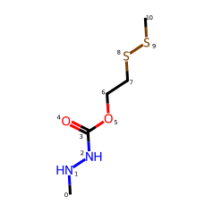 CNNC(=O)OCCSSC